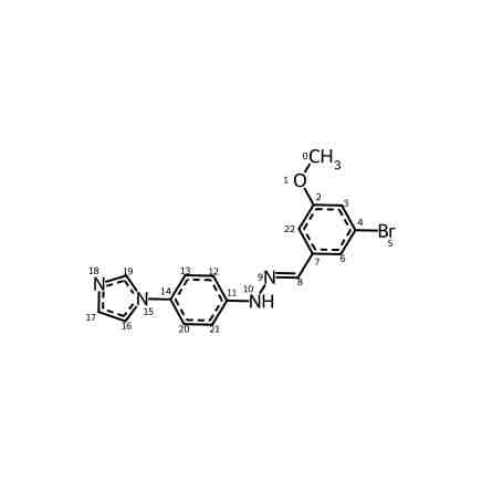 COc1cc(Br)cc(C=NNc2ccc(-n3ccnc3)cc2)c1